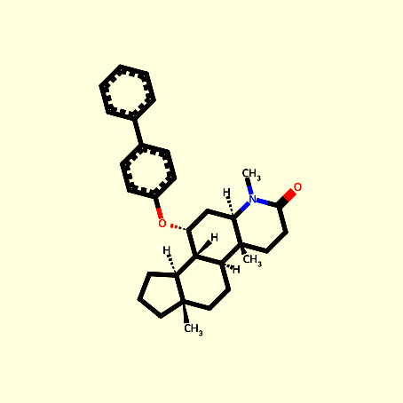 CN1C(=O)CC[C@]2(C)[C@H]3CC[C@]4(C)CCC[C@H]4[C@@H]3[C@H](Oc3ccc(-c4ccccc4)cc3)C[C@@H]12